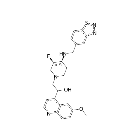 COc1ccc2nccc(C(O)CN3CC[C@H](NCc4ccc5snnc5c4)[C@H](F)C3)c2c1